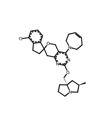 C[C@H]1CN2CCC[C@@]2(COc2nc3c(c(N4CCC=CCC4)n2)COC2(CCc4c(Cl)cccc42)C3)C1